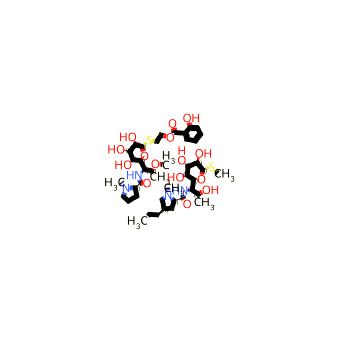 CCC[C@@H]1C[C@@H](C(=O)N[C@@H]([C@H]2O[C@H](SC)[C@H](O)[C@@H](O)[C@H]2O)[C@@H](C)O)N(C)C1.CO[C@H](C)[C@@H](NC(=O)[C@@H]1CCCN1C)[C@H]1O[C@H](SCCOC(=O)c2ccccc2O)[C@H](O)[C@@H](O)[C@H]1O